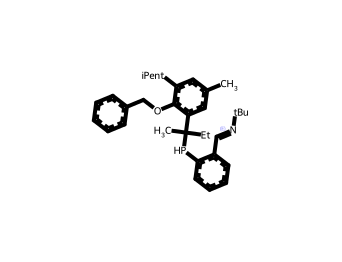 CCCC(C)c1cc(C)cc(C(C)(CC)Pc2ccccc2/C=N/C(C)(C)C)c1OCc1ccccc1